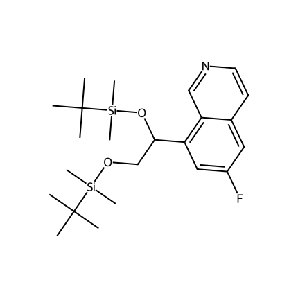 CC(C)(C)[Si](C)(C)OCC(O[Si](C)(C)C(C)(C)C)c1cc(F)cc2ccncc12